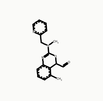 Cc1cccc2c1C(C=O)OC(N(C)Cc1ccccn1)=N2